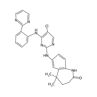 CC1(C)CCC(=O)Nc2ccc(Nc3ncc(Cl)c(Nc4ccccc4-c4ncccn4)n3)cc21